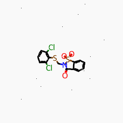 O=C1c2ccccc2S(=O)(=O)N1CSc1c(Cl)cccc1Cl